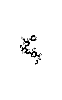 CCCN(C)C(=O)c1cnc(-c2cc3ncc(F)c(-c4ccc(OC5CCOCC5)c(C#N)n4)c3o2)c(OC)c1